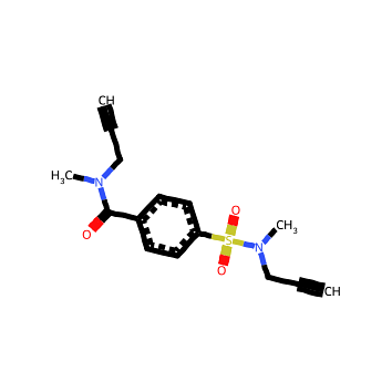 C#CCN(C)C(=O)c1ccc(S(=O)(=O)N(C)CC#C)cc1